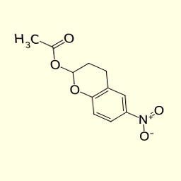 CC(=O)OC1CCc2cc([N+](=O)[O-])ccc2O1